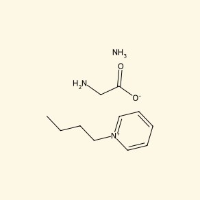 CCCC[n+]1ccccc1.N.NCC(=O)[O-]